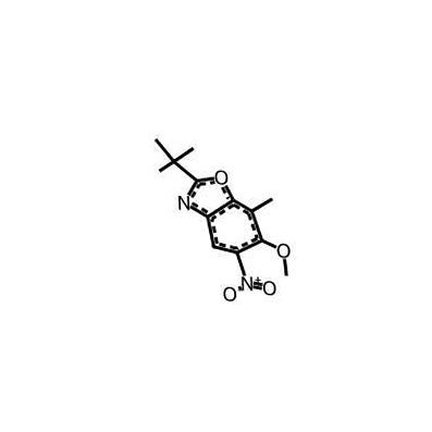 COc1c([N+](=O)[O-])cc2nc(C(C)(C)C)oc2c1C